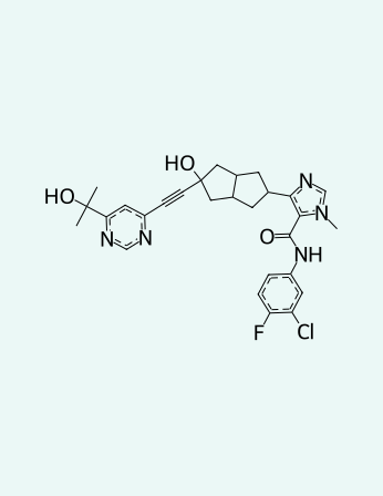 Cn1cnc(C2CC3CC(O)(C#Cc4cc(C(C)(C)O)ncn4)CC3C2)c1C(=O)Nc1ccc(F)c(Cl)c1